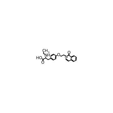 CCNC(Cc1ccc(OCCn2ccc3ccccc3c2=O)cc1)C(=O)O